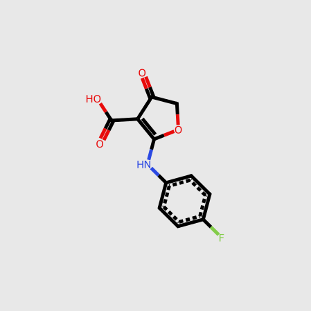 O=C(O)C1=C(Nc2ccc(F)cc2)OCC1=O